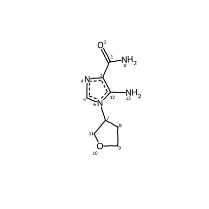 NC(=O)c1ncn(C2CCOC2)c1N